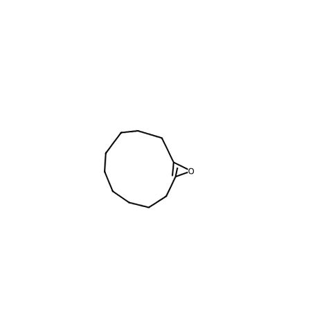 C1CCCCC2=C(CCCC1)O2